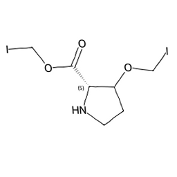 O=C(OCI)[C@H]1NCCC1OCI